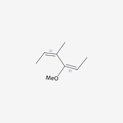 C/C=C(C)\C(=C/C)OC